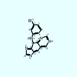 Brc1cccc(NC2C3=NC=NC3=Cc3cncnc32)c1